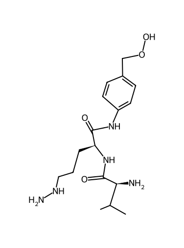 CC(C)[C@H](N)C(=O)N[C@@H](CCCNN)C(=O)Nc1ccc(COO)cc1